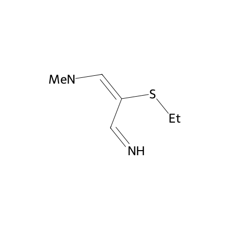 CCS/C(C=N)=C/NC